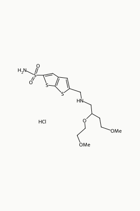 COCCOC(CCOC)CNCc1cc2cc(S(N)(=O)=O)sc2s1.Cl